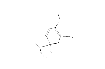 COC1=C(N)CC(N)(N(C)C)C=C1